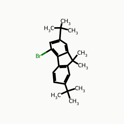 CC(C)(C)c1ccc2c(c1)C(C)(C)c1cc(C(C)(C)C)cc(Br)c1-2